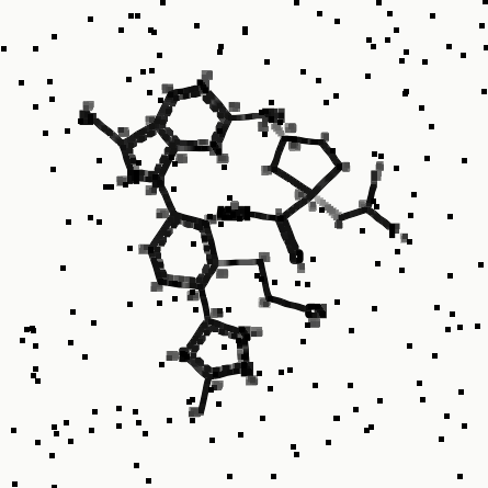 CNC(=O)[C@]1(CC(F)F)CC[C@@H](Nc2ncc3c(Br)nn(-c4ccc(-c5nnc(C)s5)c(CCC#N)c4)c3n2)C1